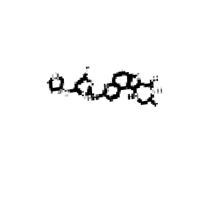 CC1CNc2c(sc3ccc4nc(Nc5nc(F)cc(O[C@H]6CCOC6)n5)ccc4c23)C(=O)N1